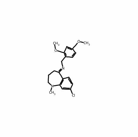 COc1ccc(CN=C2CCCN(C)c3cc(Cl)ccc32)c(OC)c1